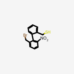 O=[N+]([O-])c1cccc(CBr)c1-c1ccccc1CS